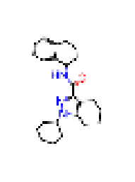 O=C(NC1CCCc2ccccc21)c1nn(C2CCCCC2)c2c1CCCC2